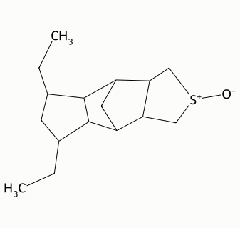 CCC1CC(CC)C2C3CC(C4C[S+]([O-])CC43)C12